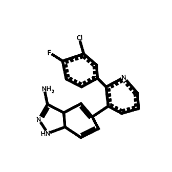 NC1=NNC2C=CC(c3cccnc3-c3ccc(F)c(Cl)c3)=CC12